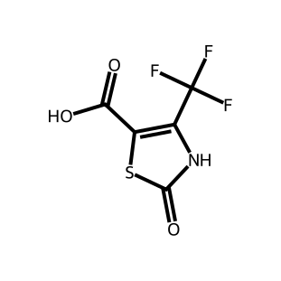 O=C(O)c1sc(=O)[nH]c1C(F)(F)F